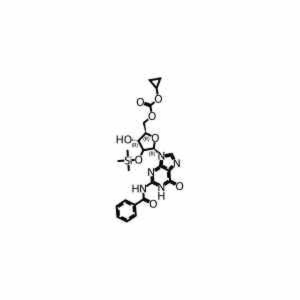 C[Si](C)(C)OC1[C@H](n2cnc3c(=O)[nH]c(NC(=O)c4ccccc4)nc32)O[C@H](COC(=O)OC2CC2)[C@H]1O